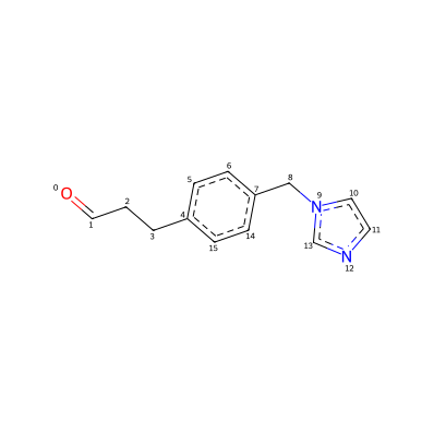 O=CCCc1ccc(Cn2ccnc2)cc1